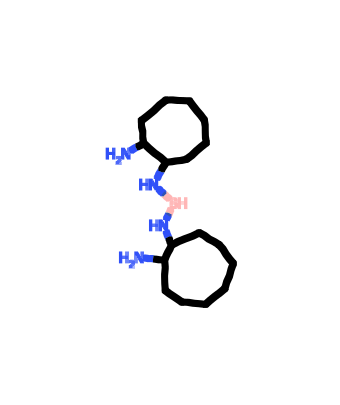 NC1CCCCCCCC1NBNC1CCCCCCC1N